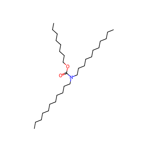 CCCCCCCCCCCN(CCCCCCCCCCC)C(=O)OCCCCCCCC